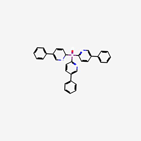 O=P(c1ccc(-c2ccccc2)cn1)(c1ccc(-c2ccccc2)cn1)C1C=CC(c2ccccc2)=CN1